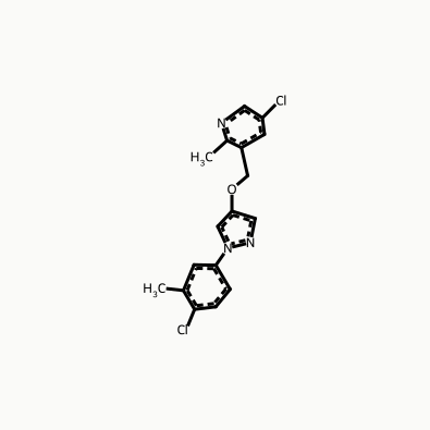 Cc1cc(-n2cc(OCc3cc(Cl)cnc3C)cn2)ccc1Cl